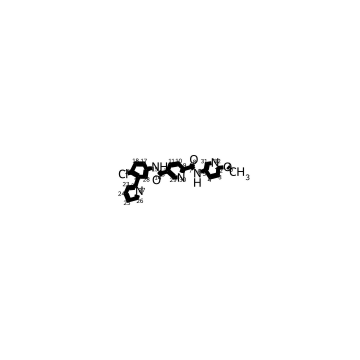 COc1ccc(NC(=O)c2ccc(C(=O)Nc3ccc(Cl)c(-c4ccccn4)c3)cn2)cn1